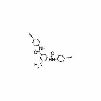 C#Cc1ccc(NC(=O)c2cc(N)cc(C(=O)Nc3ccc(C#C)cc3)c2)cc1